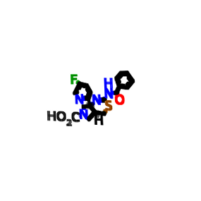 O=C(NC1=N[C@@]2(c3ccc(F)cn3)CN(C(=O)O)C[C@H]2CS1)c1ccccc1